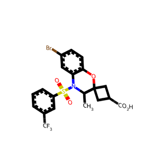 CC1N(S(=O)(=O)c2cccc(C(F)(F)F)c2)c2cc(Br)ccc2OC12CC(C(=O)O)C2